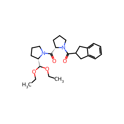 CCOC(OCC)[C@@H]1CCCN1C(=O)[C@@H]1CCCN1C(=O)C1Cc2ccccc2C1